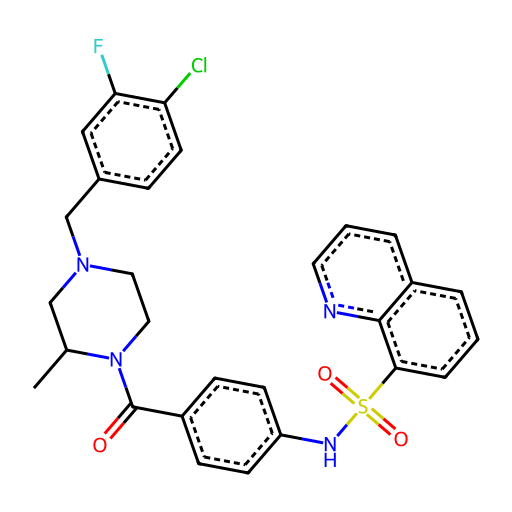 CC1CN(Cc2ccc(Cl)c(F)c2)CCN1C(=O)c1ccc(NS(=O)(=O)c2cccc3cccnc23)cc1